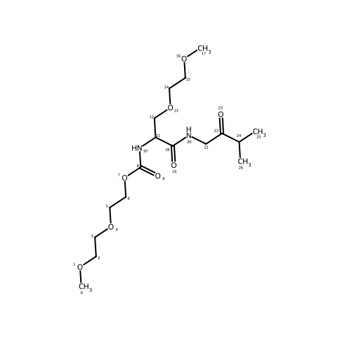 COCCOCCOC(=O)NC(COCCOC)C(=O)NCC(=O)C(C)C